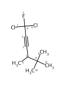 CC(C#CC(F)(Cl)Cl)C(C)(C)C